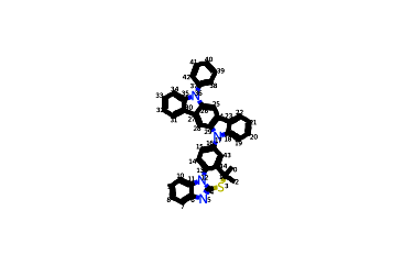 CC1(C)Sc2nc3ccccc3n2-c2ccc(-n3c4ccccc4c4cc5c(cc43)c3ccccc3n5-c3ccccc3)cc21